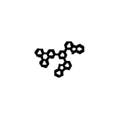 C1=CC2Sc3c(-c4cc(-c5ccc6c7ccccc7c7ccccc7c6c5)cc(-c5cccc6c5sc5ccccc56)c4)cccc3C2C=C1